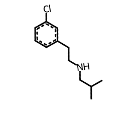 CC(C)CNCCc1cccc(Cl)c1